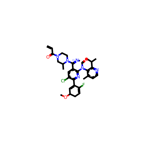 C=CC(=O)N1CCN(/C(=N/C)c2cc(Cl)c(C3=CC(OC)CC=C3F)nc2N(C=O)c2c(C)ccnc2C(C)C)C(C)C1